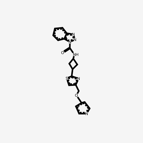 O=C(NC1CC(c2nc(COc3ccncc3)cs2)C1)n1nnc2ccccc21